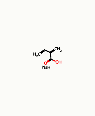 C=CC(=C)C(=O)O.[NaH]